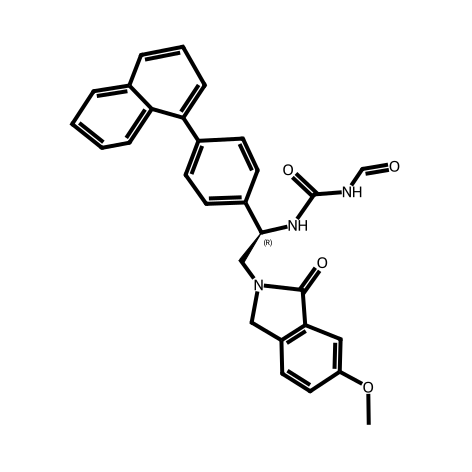 COc1ccc2c(c1)C(=O)N(C[C@H](NC(=O)NC=O)c1ccc(-c3cccc4ccccc34)cc1)C2